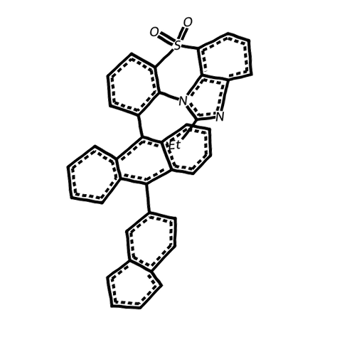 CCc1nc2cccc3c2n1-c1c(-c2c4ccccc4c(-c4ccc5ccccc5c4)c4ccccc24)cccc1S3(=O)=O